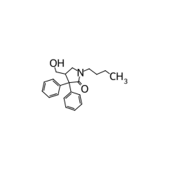 CCCCN1CC(CO)C(c2ccccc2)(c2ccccc2)C1=O